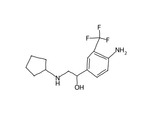 Nc1ccc(C(O)CNC2CCCC2)cc1C(F)(F)F